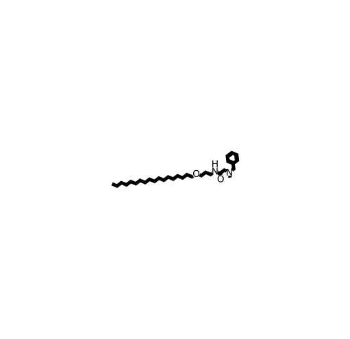 CCCCCCCCCCCCCCCCCCOCCCNC(=O)CN(C)Cc1ccccc1